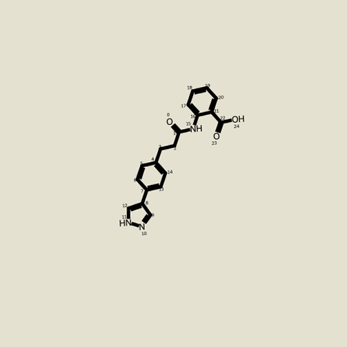 O=C(CCc1ccc(-c2cn[nH]c2)cc1)Nc1ccccc1C(=O)O